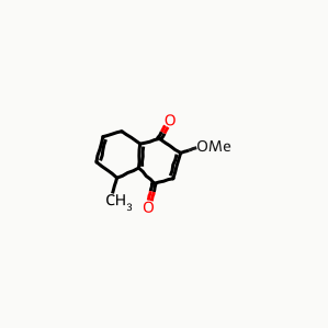 COC1=CC(=O)C2=C(CC=CC2C)C1=O